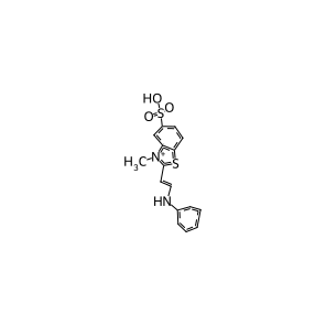 C[n+]1c(/C=C/Nc2ccccc2)sc2ccc(S(=O)(=O)O)cc21